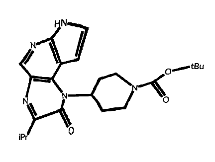 CC(C)c1nc2cnc3[nH]ccc3c2n(C2CCN(C(=O)OC(C)(C)C)CC2)c1=O